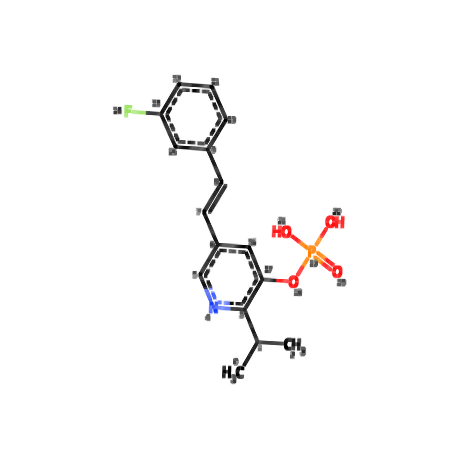 CC(C)c1ncc(/C=C/c2cccc(F)c2)cc1OP(=O)(O)O